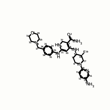 NC(=O)C1=C(N[C@@H]2CCN(c3ccc(N)cn3)C[C@@H]2F)C=C(Nc2ccc(CN3CCOCC3)cc2)NC1